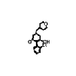 CCc1ccccc1C1=C(O)CC(CC2CCOCC2)CC1=O